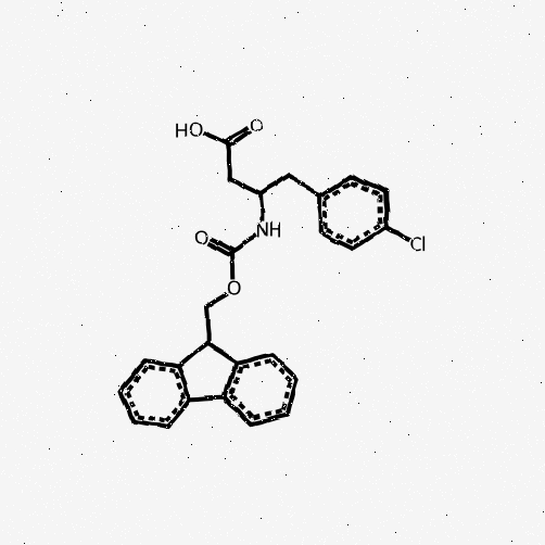 O=C(O)CC(Cc1ccc(Cl)cc1)NC(=O)OCC1c2ccccc2-c2ccccc21